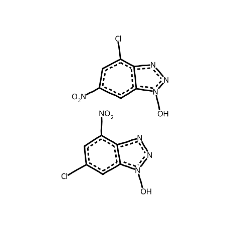 O=[N+]([O-])c1cc(Cl)c2nnn(O)c2c1.O=[N+]([O-])c1cc(Cl)cc2c1nnn2O